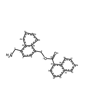 NCc1ccc(COC(=O)c2cccc3cnccc23)c2cnccc12